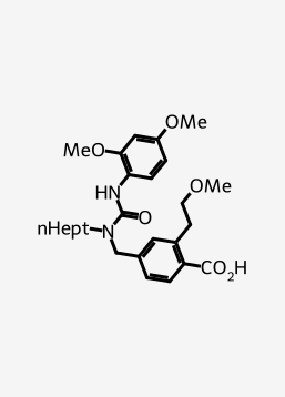 CCCCCCCN(Cc1ccc(C(=O)O)c(CCOC)c1)C(=O)Nc1ccc(OC)cc1OC